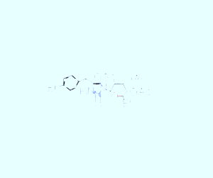 CCc1ccc(CC2=CN(C3O[C@H](CC)[C@@H](OC(C)=O)[C@H](OC(C)=O)[C@H]3OC(C)=O)NN2)cc1